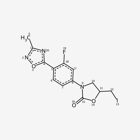 Cc1noc(-c2ccc(N3CC(CI)OC3=O)cc2F)n1